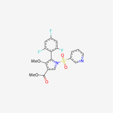 COC(=O)c1cn(S(=O)(=O)c2cccnc2)c(-c2c(F)cc(F)cc2F)c1OC